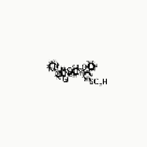 O=C(O)N1CC[C@@H](C(=O)N2CCC(O)(Cn3cnc4c(ccn4-c4ncccn4)c3=O)CC2)[C@H](c2ccccc2)C1